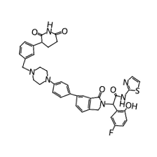 O=C1CCC(c2cccc(CN3CCN(c4ccc(-c5ccc6c(c5)C(=O)N(C(C(=O)Nc5nccs5)c5cc(F)ccc5O)C6)cc4)CC3)c2)C(=O)N1